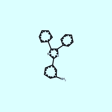 Nc1cccc(-c2nc(-c3ccccc3)c(-c3ccccc3)s2)c1